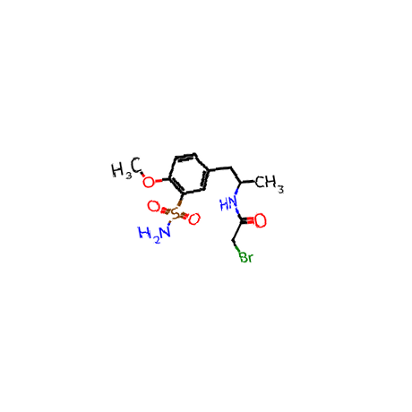 COc1ccc(CC(C)NC(=O)CBr)cc1S(N)(=O)=O